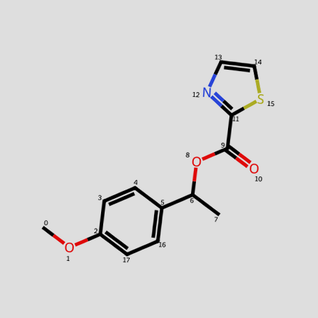 COc1ccc(C(C)OC(=O)c2nccs2)cc1